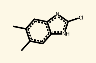 Cc1cc2nc(Cl)[nH]c2cc1C